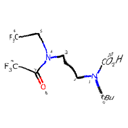 CC(C)(C)N(CCN(CC(F)(F)F)C(=O)C(F)(F)F)C(=O)O